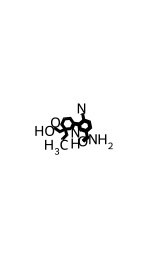 CCCC1(CC(=O)O)CCCc2c1[nH]c1c(C(N)=O)ccc(C#N)c21